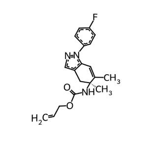 C=CCOC(=O)N[C@@]1(C)Cc2cnn(-c3ccc(F)cc3)c2C=C1C